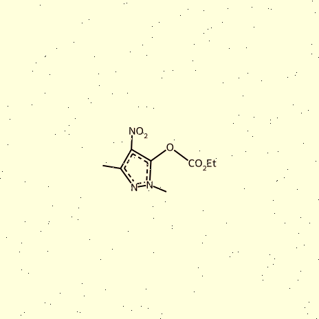 CCOC(=O)Oc1c([N+](=O)[O-])c(C)nn1C